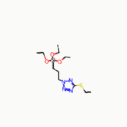 CCO[Si](CCCn1nnc(SCC)n1)(OCC)OCC